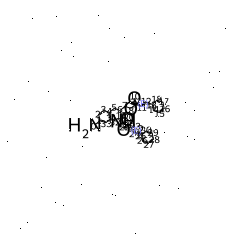 Nc1ccc(CC(COC(=O)/C=C/c2ccccc2)COC(=O)/C=C/c2ccccc2)c(N)c1